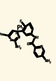 CC(C)C1=C[C@@](C)(c2cc(NC(=O)c3ccc(N)cn3)ccc2F)N=C(N)S1